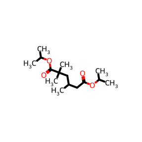 CC(CC(=O)OC(C)C)CC(C)(C)C(=O)OC(C)C